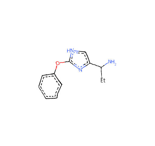 CCC(N)c1c[nH]c(Oc2ccccc2)n1